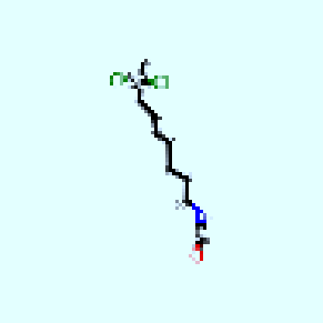 C[Si](Cl)(Cl)CCCCCCCN=C=O